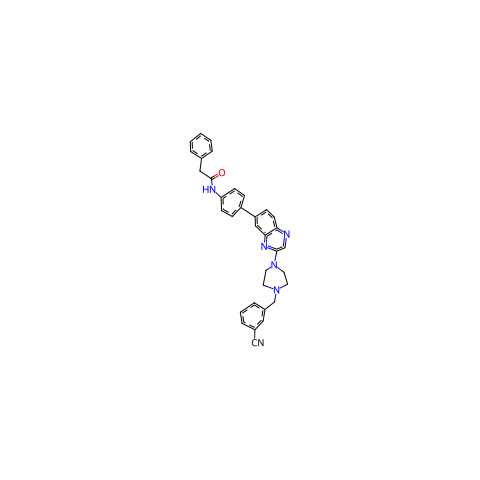 N#Cc1cccc(CN2CCN(c3cnc4ccc(-c5ccc(NC(=O)Cc6ccccc6)cc5)cc4n3)CC2)c1